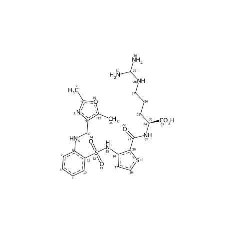 Cc1nc(CNc2ccccc2S(=O)(=O)Nc2ccsc2C(=O)N[C@@H](CCCNC(N)N)C(=O)O)c(C)o1